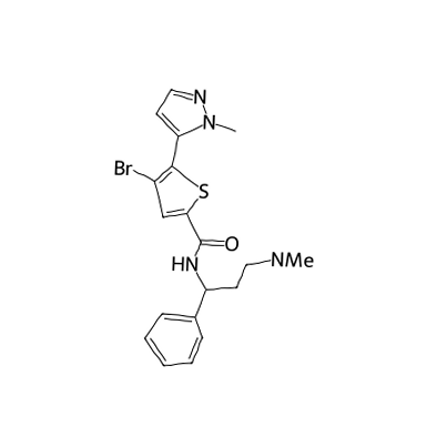 CNCCC(NC(=O)c1cc(Br)c(-c2ccnn2C)s1)c1ccccc1